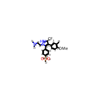 COc1ccc(C2=C(c3ccc(S(C)(=O)=O)cc3)N(CCN(C)C)NC2C(F)(F)F)cc1C